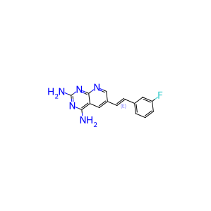 Nc1nc(N)c2cc(/C=C/c3cccc(F)c3)cnc2n1